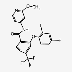 COc1cc(NC(=O)c2ccc(C(F)(F)F)cc2Oc2ccc(F)cc2I)ccn1